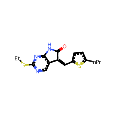 CCCc1ccc(C=C2C(=O)Nc3nc(SCC)ncc32)s1